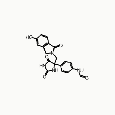 O=CNc1ccc(C2(CN3Cc4cc(O)ccc4C3=O)NC(=O)NC2=O)cc1